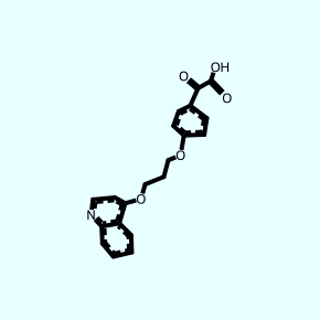 O=C(O)C(=O)c1ccc(OCCCOc2ccnc3ccccc23)cc1